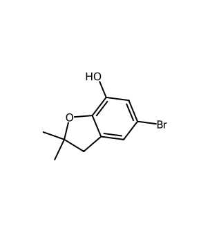 CC1(C)Cc2cc(Br)cc(O)c2O1